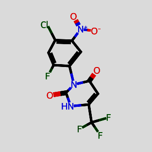 O=c1cc(C(F)(F)F)[nH]c(=O)n1-c1cc([N+](=O)[O-])c(Cl)cc1F